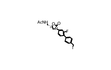 CC(=O)NC[C@H]1CN(c2ccc(-c3ccc(CI)cc3)c(F)c2)C(=O)O1